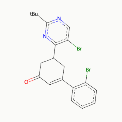 CC(C)(C)c1ncc(Br)c(C2CC(=O)C=C(c3ccccc3Br)C2)n1